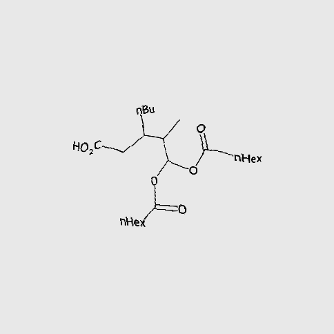 CCCCCCC(=O)OC(OC(=O)CCCCCC)C(C)C(CCCC)CC(=O)O